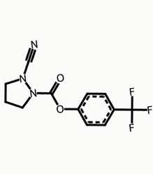 N#CN1CCCN1C(=O)Oc1ccc(C(F)(F)F)cc1